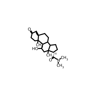 CN(C)C(=O)[C@H]1CCC2C3CCC4=CC(=O)CCC4(C)C3C(O)CC21C